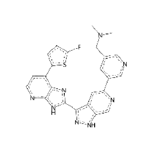 CN(C)Cc1cncc(-c2cc3c(-c4nc5c(-c6ccc(F)s6)ccnc5[nH]4)n[nH]c3cn2)c1